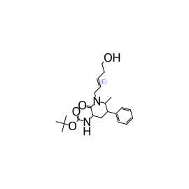 CC1C(c2ccccc2)CC(NC(=O)OC(C)(C)C)C(=O)N1C/C=C/CCO